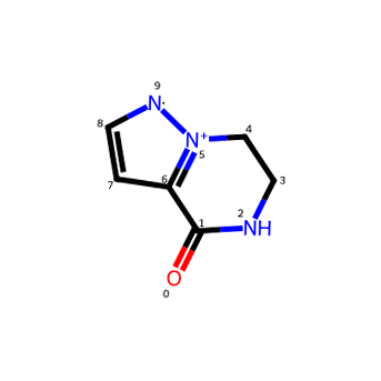 O=C1NCC[N+]2=C1C=C[N]2